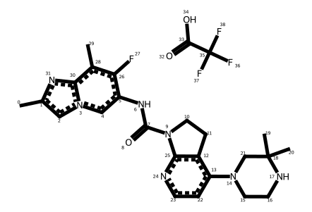 Cc1cn2cc(NC(=O)N3CCc4c(N5CCNC(C)(C)C5)ccnc43)c(F)c(C)c2n1.O=C(O)C(F)(F)F